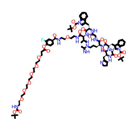 CC(=N)NCCC[C@H](NC(=O)[C@H](Cc1cn(C(=O)OC(C)(C)C)c2ccccc12)NC(=O)[C@H](CC1=CCC=N1)NC(C)=O)C(=O)NCC(=O)N[C@@H](Cc1cn(C(=O)OC(C)(C)C)c2ccccc12)C(=O)N[C@H](C(=O)NCCOCCNC(=O)c1ccc(OC(=O)CCOCCOCCOCCOCCOCCOCCNC(=O)OC(C)(C)C)c(F)c1)C(C)C